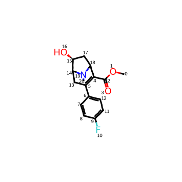 COC(=O)C1=C(c2ccc(F)cc2)CC2[C@@H](O)CC1N2C